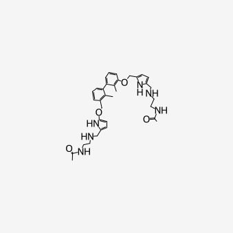 CC(=O)NCCNCc1ccc(COc2cccc(-c3cccc(COc4ccc(CNCCNC(C)=O)[nH]4)c3C)c2C)[nH]1